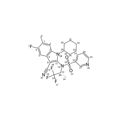 Cc1cc2c(cc1F)c(C#N)c(N([C@H](C)C(F)(F)F)S(=O)(=O)c1cccnc1)n2C1CCCCC1